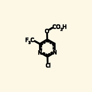 O=C(O)Oc1cnc(Cl)nc1C(F)(F)F